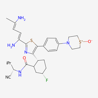 C/C(N)=C/C=C(\N)c1nc([C@@H]2CC[C@H](F)CC2C(=O)N[C@H](C#N)C(C)C)c(-c2ccc(N3CC[S+]([O-])CC3)cc2)s1